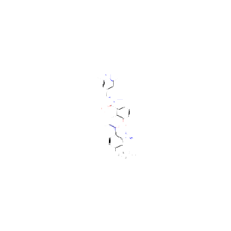 C=Nc1cc(OC)ccc1/C(=C\C)Oc1cccc(C(=O)NCc2cc(C)nc(C)c2)c1C